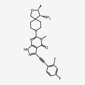 C[C@@H]1OCC2(CCN(c3nc4[nH]nc(C#Cc5ccc(F)cc5F)c4c(=O)n3C)CC2)[C@@H]1N